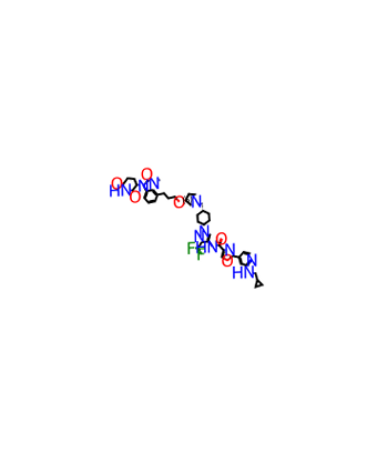 Cn1c(=O)n(C2CCC(=O)NC2=O)c2cccc(CCCO[C@H]3CCN(C[C@H]4CC[C@H](n5cc(NC(=O)c6coc(-c7ccnc(NCC8CC8)c7)n6)c(C(F)F)n5)CC4)C3)c21